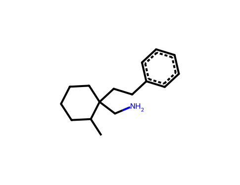 CC1CCCCC1(CN)CCc1ccccc1